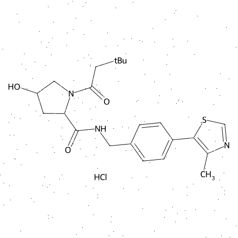 Cc1ncsc1-c1ccc(CNC(=O)C2CC(O)CN2C(=O)CC(C)(C)C)cc1.Cl